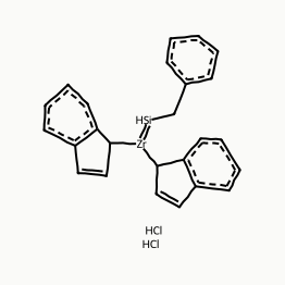 C1=C[CH]([Zr](=[SiH]Cc2ccccc2)[CH]2C=Cc3ccccc32)c2ccccc21.Cl.Cl